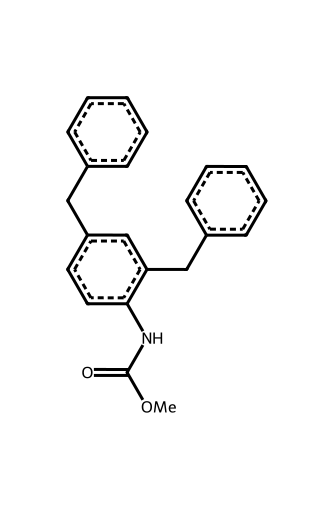 COC(=O)Nc1ccc(Cc2ccccc2)cc1Cc1ccccc1